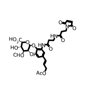 CC(=O)OC/C=C/c1ccc(O[C@@H]2O[C@H](C(=O)O)[C@@H](O)[C@H](C=O)[C@H]2O)c(NC(=O)CCNC(=O)CCN2C(=O)C=CC2=O)c1